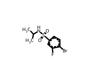 CC(C)NS(=O)(=O)c1ccc(Br)c(F)c1